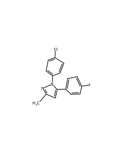 Cc1cc(-c2ccc(I)cc2)n(-c2ccc(Cl)cc2)n1